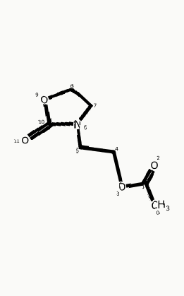 CC(=O)OCCN1CCOC1=O